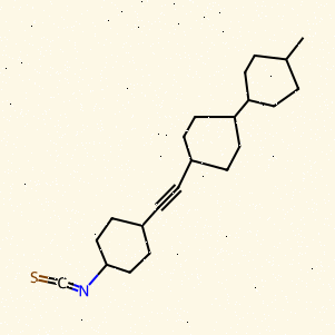 CC1CCC(C2CCC(C#CC3CCC(N=C=S)CC3)CC2)CC1